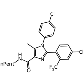 CCCCCNC(=O)c1nc(-c2ccc(Cl)cc2C(F)(F)F)n(-c2ccc(Cl)cc2)c1C